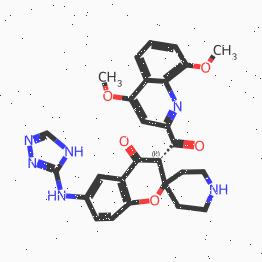 COc1cc(C(=O)[C@H]2C(=O)c3cc(Nc4nnc[nH]4)ccc3OC23CCNCC3)nc2c(OC)cccc12